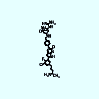 C[C@H](N)CCCc1cc(Cl)c(F)c(-c2cc3cn(-c4ccc(CN[C@H](CCNC(=N)N)CS(N)(=O)=O)cc4)c(=O)nc3[nH]2)c1